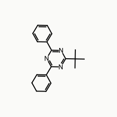 CC(C)(C)c1nc(C2=CCCC=C2)nc(-c2ccccc2)n1